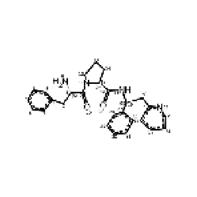 N[C@@H](Cc1ccccc1)C(=O)N1CCC[C@H]1C(=O)N[C@@H](Cc1ccccn1)c1ccccc1